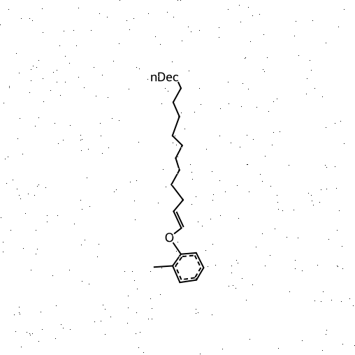 CCCCCCCCCCCCCCCCCCCC=COc1ccccc1C